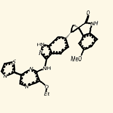 CCOc1ncc(-c2nccs2)nc1Nc1n[nH]c2cc([C@@H]3C[C@@]34C(=O)Nc3ccc(OC)cc34)ccc12